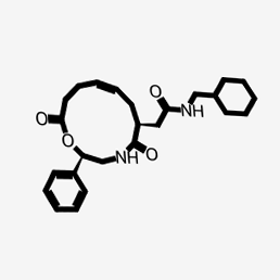 O=C(C[C@@H]1CC=CCCC(=O)O[C@H](c2ccccc2)CNC1=O)NCC1CCCCC1